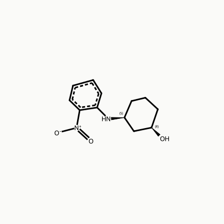 O=[N+]([O-])c1ccccc1N[C@H]1CCC[C@@H](O)C1